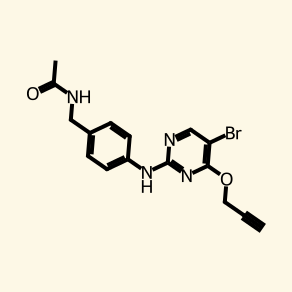 C#CCOc1nc(Nc2ccc(CNC(C)=O)cc2)ncc1Br